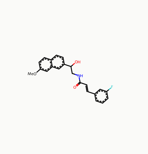 COc1ccc2ccc(C(O)CNC(=O)C=Cc3cccc(F)c3)cc2c1